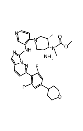 COC(=O)N(C)[C@@H]1[C@H](N)CN(c2ccncc2Nc2ncc3ccc(-c4c(F)cc(C5CCOCC5)cc4F)nn23)C[C@@H]1C